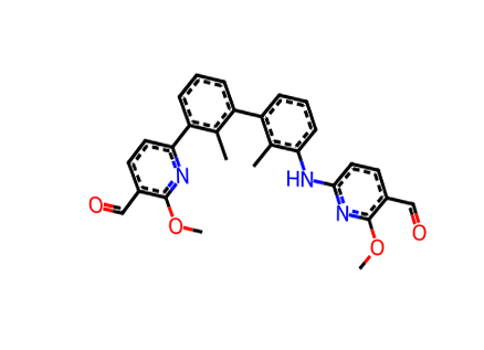 COc1nc(Nc2cccc(-c3cccc(-c4ccc(C=O)c(OC)n4)c3C)c2C)ccc1C=O